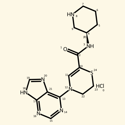 Cl.O=C(N[C@@H]1CCCNC1)C1=CN(c2ncnc3[nH]cnc23)CCS1